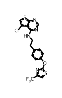 FC(F)(F)c1csc(Oc2ccc(CCNc3ncnc4scc(Cl)c34)cc2)n1